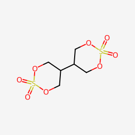 O=S1(=O)OCC(C2COS(=O)(=O)OC2)CO1